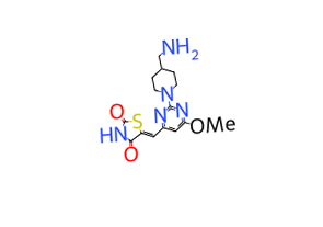 COc1cc(/C=C2\SC(=O)NC2=O)nc(N2CCC(CN)CC2)n1